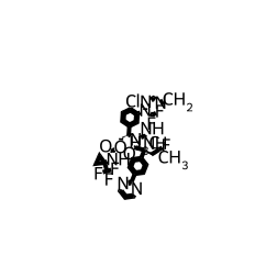 C=N/C=N\N(c1cc([C@@H](COC(=O)NC2(C(F)(F)F)CC2)N2C(=N)N[C@](CC(C)(C)F)(c3ccc(-c4ncccn4)cc3)C2=O)ccc1Cl)C(F)F